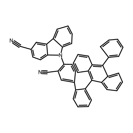 N#Cc1ccc2c(c1)c1ccccc1n2-c1ccc(-c2ccccc2-c2c3ccccc3c(-c3ccccc3)c3ccccc23)cc1C#N